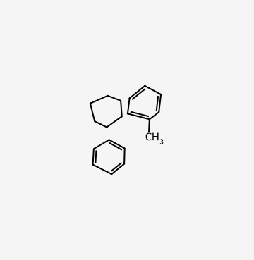 C1CCCCC1.Cc1ccccc1.c1ccccc1